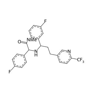 CNC(=O)C(NC(CCc1ccc(C(F)(F)F)nc1)c1cccc(F)c1)c1ccc(F)cc1